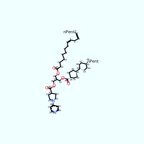 CCCCC/C=C\C/C=C\CCCCCCCC(=O)OCC(COC(=O)C1CCN(c2ccncc2)CC1)COC(=O)[C@H]1CC[C@H]([C@H]2CC[C@H](CCCCC)CC2)CC1